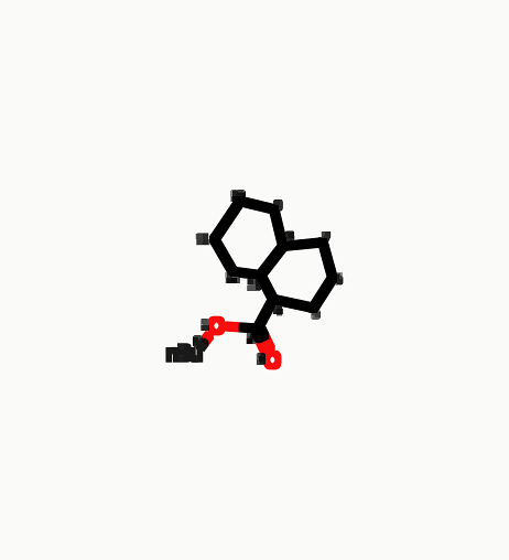 CCCCOC(=O)C1CCCC2CCCCC21